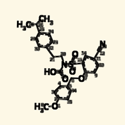 COc1ccc(COc2ccc(C#N)cc2S(=O)(=O)N(CCc2ccc(C(C)C)cc2)C(=O)O)cc1